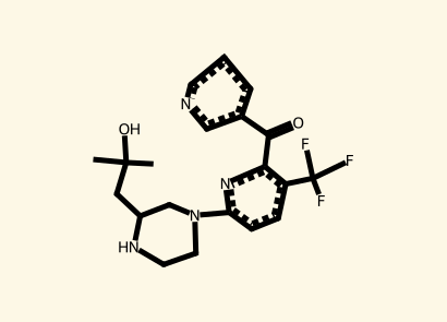 CC(C)(O)CC1CN(c2ccc(C(F)(F)F)c(C(=O)c3cccnc3)n2)CCN1